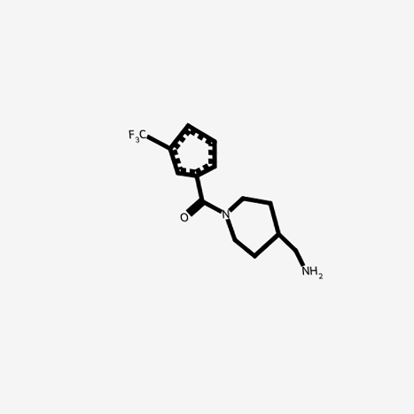 NCC1CCN(C(=O)c2cccc(C(F)(F)F)c2)CC1